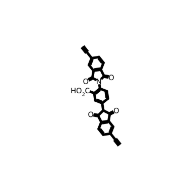 C#Cc1ccc2c(c1)C(=O)C(c1ccc(N3C(=O)c4ccc(C#C)cc4C3=O)c(C(=O)O)c1)C2=O